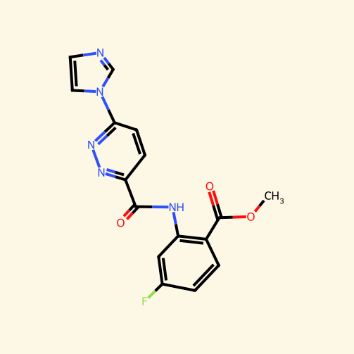 COC(=O)c1ccc(F)cc1NC(=O)c1ccc(-n2ccnc2)nn1